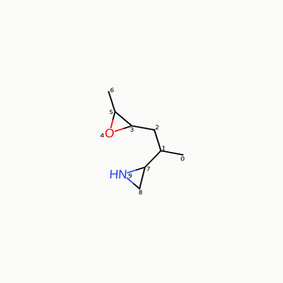 CC(CC1OC1C)C1CN1